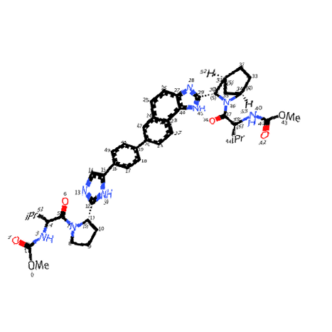 COC(=O)NC(C(=O)N1CCC[C@H]1c1ncc(-c2ccc(-c3ccc4c(ccc5nc([C@@H]6[C@H]7CC[C@H](C7)N6C(=O)[C@@H](NC(=O)OC)C(C)C)[nH]c54)c3)cc2)[nH]1)C(C)C